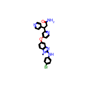 Cn1c(Nc2ccc(Br)cc2)nc2cc(Oc3ccnc(C(CC(N)=O)c4ccncc4)c3)ccc21